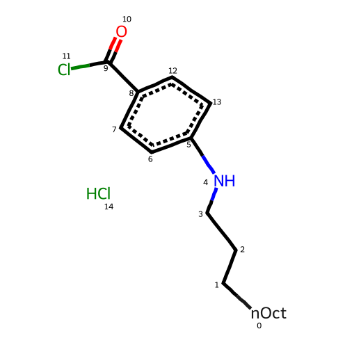 CCCCCCCCCCCNc1ccc(C(=O)Cl)cc1.Cl